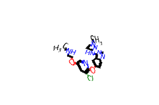 CCNCCOc1cnc(Oc2ccc3ncnc(Nc4ccn(C)n4)c3c2)c(Cl)c1